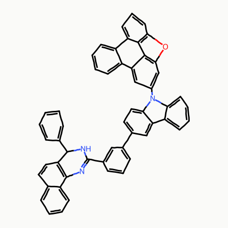 c1ccc(C2NC(c3cccc(-c4ccc5c(c4)c4ccccc4n5-c4cc5oc6cccc7c8ccccc8c(c4)c5c67)c3)=Nc3c2ccc2ccccc32)cc1